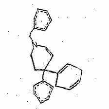 C1=CCC(C2(c3ccccc3)C=CN(Cc3ccccc3)CC2)=CC1